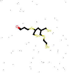 O=CCCSC(CS)CC(CS)CSCCS